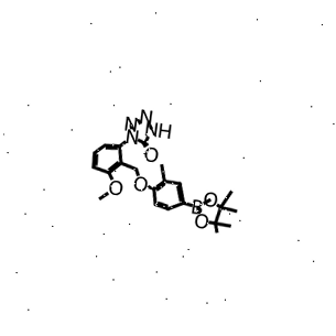 COc1cccc(-n2nn[nH]c2=O)c1COc1ccc(B2OC(C)(C)C(C)(C)O2)cc1C